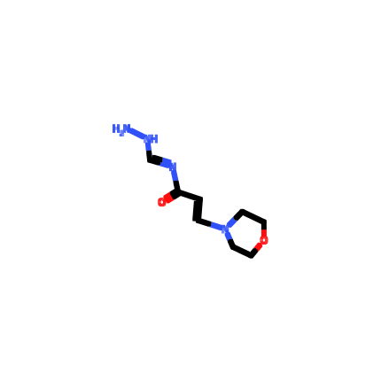 NNC=NC(=O)C=CN1CCOCC1